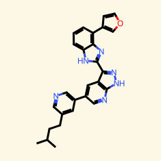 CC(C)CCc1cncc(-c2cnc3[nH]nc(-c4nc5c(-c6ccoc6)cccc5[nH]4)c3c2)c1